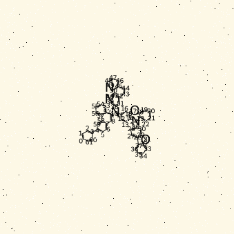 c1ccc(-c2ccc3cc(N(c4ccc5c(c4)Oc4ccccc4N5c4ccc5c(c4)oc4ccccc45)c4cnc5c(ccc6cccnc65)c4)c4ccccc4c3c2)cc1